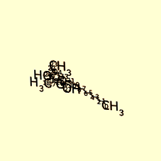 CCCCCCCCCCCCC(Cc1cc(CC)c(O)c(CC)c1)C(=O)O